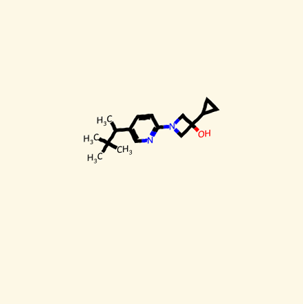 CC(c1ccc(N2CC(O)(C3CC3)C2)nc1)C(C)(C)C